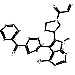 C=CC(=O)N1CCC(c2c(-c3ccc(C(=O)c4ccccc4)cc3)c3c(N)ncnc3n2C)C1